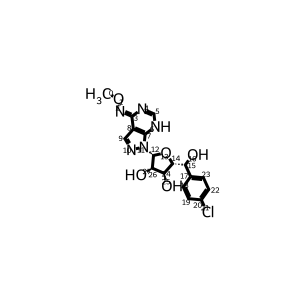 CON=c1nc[nH]c2c1cnn2[C@@H]1O[C@H](C(O)c2ccc(Cl)cc2)[C@@H](O)[C@H]1O